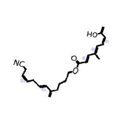 C=C(O)\C=C/C=C(C)/C=C/C(=O)OCCCCC(=C)/C=C/C/C=C\CC#N